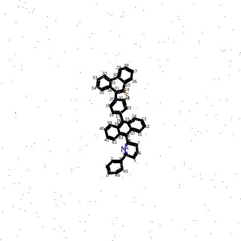 c1ccc(-c2cccc(-c3c4ccccc4c(-c4ccc5c(c4)sc4c6ccccc6c6ccccc6c54)c4ccccc34)n2)cc1